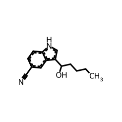 CCCCC(O)c1c[nH]c2ccc(C#N)cc12